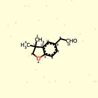 CC1(C)COc2ccc(CC=O)cc21